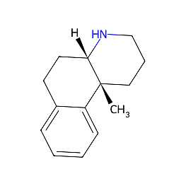 C[C@]12CCCN[C@H]1CCc1ccccc12